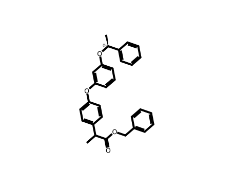 CC(C(=O)OCc1ccccc1)c1ccc(Oc2cccc(O[C@@H](C)c3ccccc3)c2)cc1